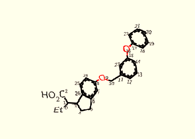 CCC(C(=O)O)C1CCc2cc(OCc3cccc(Oc4ccccc4)c3)ccc21